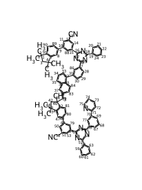 CC1(C)CC(C)(C)c2cc(-c3cc(C#N)cc(-c4nc(-c5ccccc5)nc(-c5cccc(-c6cccc7cc(CC8(C)CC(C)(C)c9cc(-c%10cc(C#N)cc(-c%11nc(-c%12ccccc%12)nc(-c%12cccc(-c%13ccccn%13)c%12)n%11)c%10)ccc98)ccc67)c5)n4)c3)ccc21